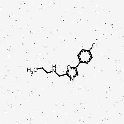 CCCNCc1ncc(-c2ccc(Cl)cc2)o1